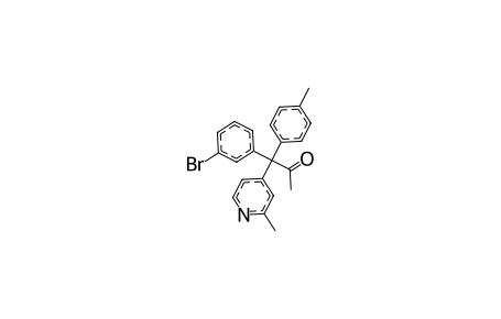 CC(=O)C(c1ccc(C)cc1)(c1cccc(Br)c1)c1ccnc(C)c1